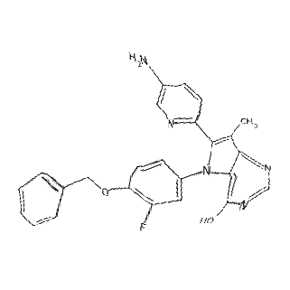 Cc1c(-c2ccc(N)cn2)n(-c2ccc(OCc3ccccc3)c(F)c2)c2c(O)ncnc12